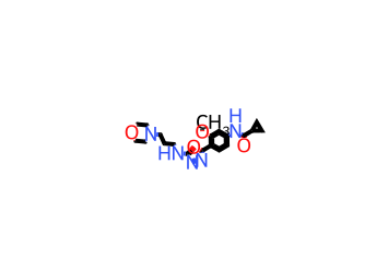 COc1cc(NC(=O)C2CC2)ccc1-c1nnc(NCCCN2CCOCC2)o1